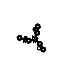 c1ccc(-c2nc3ccc(-c4nc(-c5ccc6c(c5)oc5ccccc56)cc(-c5ccc6c(c5)oc5ccccc56)n4)cc3o2)cc1